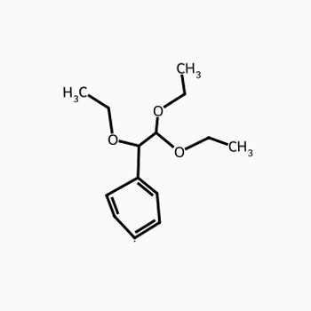 CCOC(OCC)C(OCC)c1cc[c]cc1